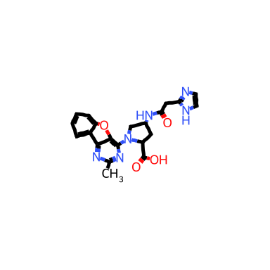 Cc1nc(N2CC(NC(=O)Cc3ncc[nH]3)CC2C(=O)O)c2oc3ccccc3c2n1